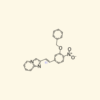 O=[N+]([O-])c1ccc(/C=C/c2cn3ccccc3n2)cc1OCc1ccccc1